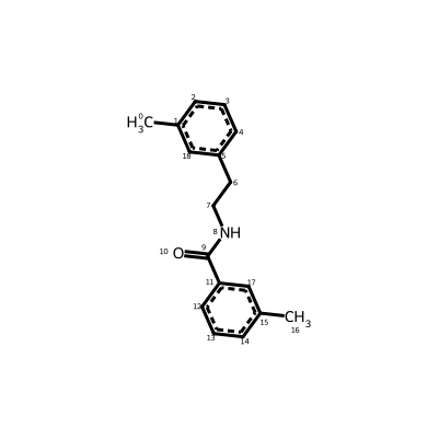 Cc1cccc(CCNC(=O)c2cccc(C)c2)c1